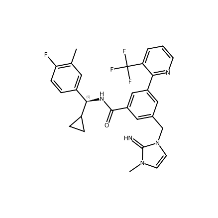 Cc1cc([C@@H](NC(=O)c2cc(Cn3ccn(C)c3=N)cc(-c3ncccc3C(F)(F)F)c2)C2CC2)ccc1F